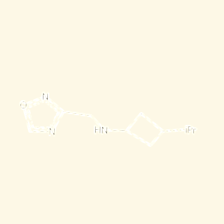 CC(C)C1CC(NCc2ncon2)C1